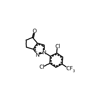 O=C1CCc2nn(-c3c(Cl)cc(C(F)(F)F)cc3Cl)cc21